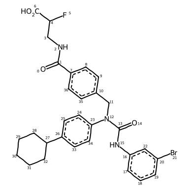 O=C(NCC(F)C(=O)O)c1ccc(CN(C(=O)Nc2cccc(Br)c2)c2ccc(C3CCCCC3)cc2)cc1